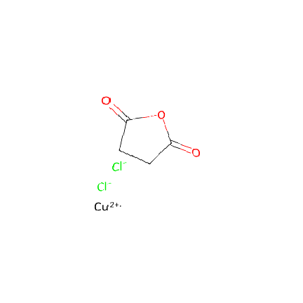 O=C1CCC(=O)O1.[Cl-].[Cl-].[Cu+2]